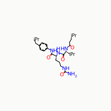 CC(C)CCC(=O)N[C@H](C(=O)N[C@@H](CCCNC(N)=O)C(=O)Nc1ccc(CC(C)C)cc1)C(C)C